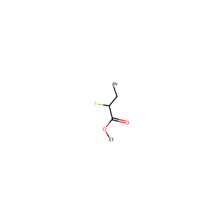 CCOC(=O)C(F)CC(C)C